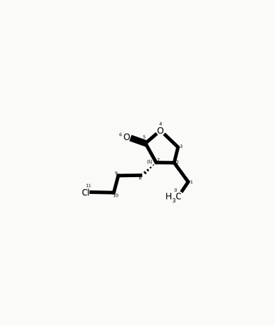 CCC1COC(=O)[C@H]1CCCCl